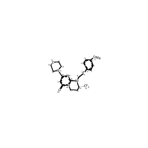 COc1ccc(CCN2c3nc(N4CCOCC4)cc(=O)n3CC[C@H]2C(F)(F)F)cc1